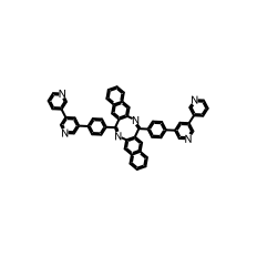 c1cncc(-c2cncc(-c3ccc(/C4=N/c5cc6ccccc6cc5/C(c5ccc(-c6cncc(-c7cccnc7)c6)cc5)=N\c5cc6ccccc6cc54)cc3)c2)c1